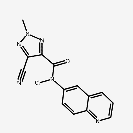 Cn1nc(C#N)c(C(=O)N(Cl)c2ccc3ncccc3c2)n1